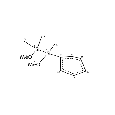 CO[Si](C)(C)[Si](C)(OC)c1ccccc1